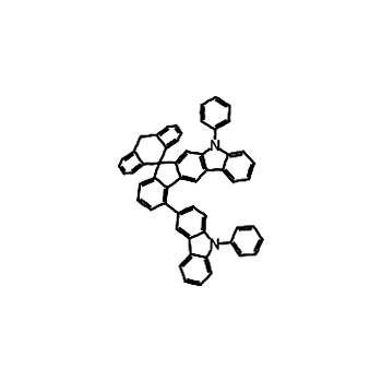 c1ccc(-n2c3ccccc3c3cc(-c4cccc5c4-c4cc6c7ccccc7n(-c7ccccc7)c6cc4C54c5ccccc5Cc5ccccc54)ccc32)cc1